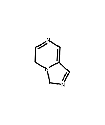 C1=NC=C2C=NCN2C1